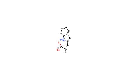 C=C(Cc1cc2ccccc2[nH]1)C(=O)O